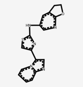 c1ccn2c(-c3csc(Nc4cnc5c(c4)CCO5)n3)cnc2c1